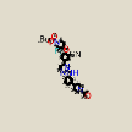 CC(C)(C)OC(=O)N1CCC(Oc2ccc(-c3ccnc(Nc4cccc(C5CCN(C6COC6)CC5)c4)n3)cc2C#N)C(F)(F)C1